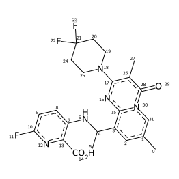 Cc1cc(C(C)Nc2ccc(F)nc2C(=O)O)c2nc(N3CCC(F)(F)CC3)c(C)c(=O)n2c1